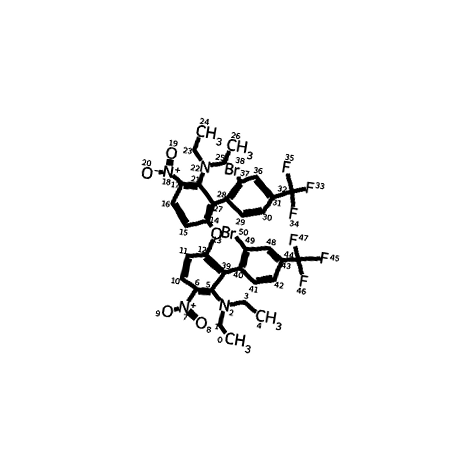 CCN(CC)c1c([N+](=O)[O-])ccc(Oc2ccc([N+](=O)[O-])c(N(CC)CC)c2-c2ccc(C(F)(F)F)cc2Br)c1-c1ccc(C(F)(F)F)cc1Br